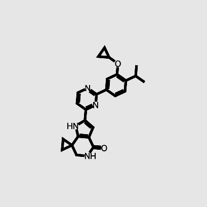 CC(C)c1ccc(-c2nccc(-c3cc4c([nH]3)C3(CC3)CNC4=O)n2)cc1OC1CC1